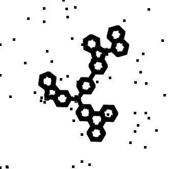 c1ccc2c(-n3c4ccccc4c4cc(-c5ccc(N(c6ccc7sc8ccccc8c7c6)c6ccc7c8ccccc8c8ccccc8c7c6)cc5)ccc43)cccc2c1